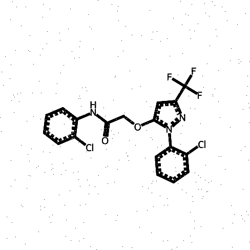 O=C(COc1cc(C(F)(F)F)nn1-c1ccccc1Cl)Nc1ccccc1Cl